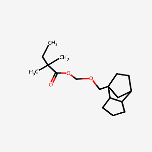 CCC(C)(C)C(=O)OCOCC12CCC(C1)C1CCCC12